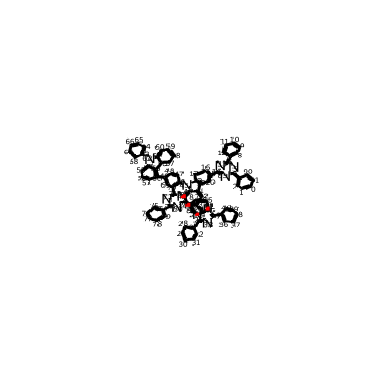 c1ccc(-c2nc(-c3ccccc3)nc(-c3ccc4c(c3)c3cc(-c5nc(-c6ccccc6)nc(-c6ccccc6)n5)ccc3n4-c3ccc(-c4cccc5c4c4ccccc4n5-c4ccccc4)cc3-c3nc(-c4ccccc4)nc(-c4ccccc4)n3)n2)cc1